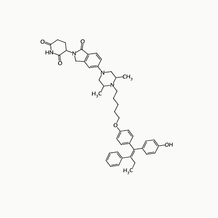 CC/C(=C(\c1ccc(O)cc1)c1ccc(OCCCCCN2C(C)CN(c3ccc4c(c3)CN(C3CCC(=O)NC3=O)C4=O)CC2C)cc1)c1ccccc1